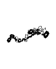 CC(C)(C)[Si](C)(C)OC(CN(CCCCCNC(=O)CCN1CCC(OC(=O)Nc2ccccc2-c2ccccc2)CC1)Cc1ccccc1)c1ccc(OCc2ccccc2)c2[nH]c(=O)ccc12